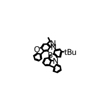 Cc1nn2c3c(c4c(cc13)oc1ccccc14)B1c3c-2cc(C(C)(C)C)cc3-n2c3ccccc3c3cccc1c32